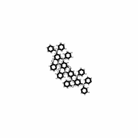 c1ccc(N(c2ccccc2)c2cc3c4c(c2)N(c2ccccc2)c2cc5c(cc2B4c2ccccc2O3)B2c3ccccc3Oc3c2c(cc2c3B3c4ccccc4Oc4cc(N(c6ccccc6)c6ccccc6)cc(c43)N2c2ccccc2)O5)cc1